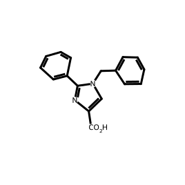 O=C(O)c1cn(Cc2ccccc2)c(-c2ccccc2)n1